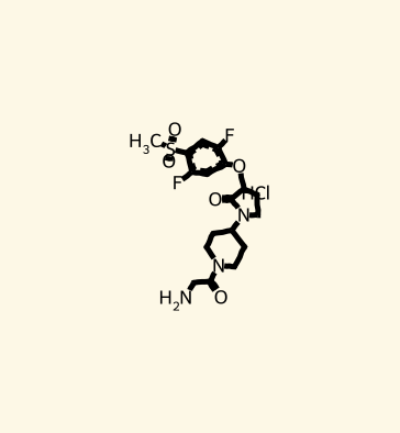 CS(=O)(=O)c1cc(F)c(OC2CCN(C3CCN(C(=O)CN)CC3)C2=O)cc1F.Cl